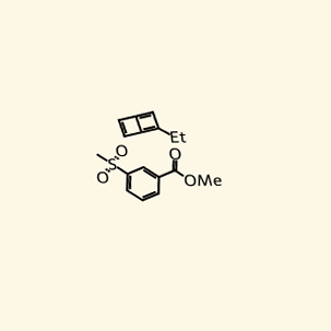 CCc1cc2ccc1-2.COC(=O)c1cccc(S(C)(=O)=O)c1